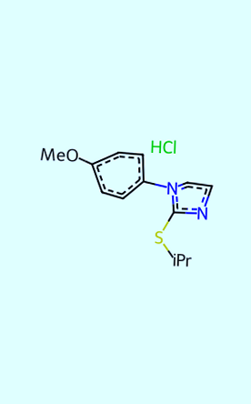 COc1ccc(-n2ccnc2SC(C)C)cc1.Cl